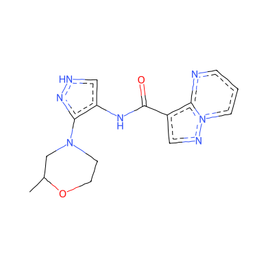 CC1CN(c2n[nH]cc2NC(=O)c2cnn3cccnc23)CCO1